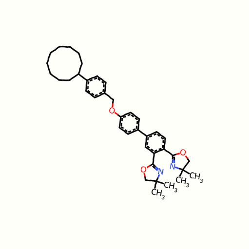 CC1(C)COC(c2ccc(-c3ccc(OCc4ccc(C5CCCCCCCCC5)cc4)cc3)cc2C2=NC(C)(C)CO2)=N1